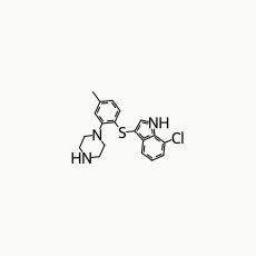 Cc1ccc(Sc2c[nH]c3c(Cl)cccc23)c(N2CCNCC2)c1